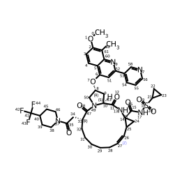 COc1ccc2c(O[C@@H]3C[C@H]4C(=O)N[C@]5(C(=O)NS(=O)(=O)C6CC6)CC5/C=C\CCCCC[C@H](CC(=O)N5CCC(C(F)(F)F)CC5)C(=O)N4C3)cc(-c3cccnc3)nc2c1C